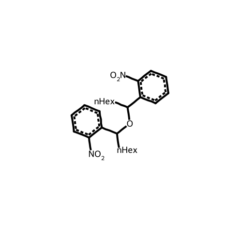 CCCCCCC(OC(CCCCCC)c1ccccc1[N+](=O)[O-])c1ccccc1[N+](=O)[O-]